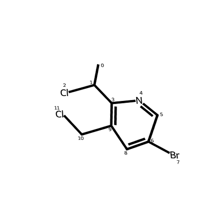 CC(Cl)c1ncc(Br)cc1CCl